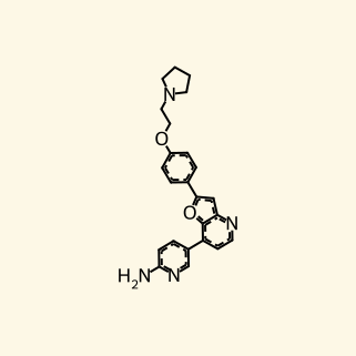 Nc1ccc(-c2ccnc3cc(-c4ccc(OCCN5CCCC5)cc4)oc23)cn1